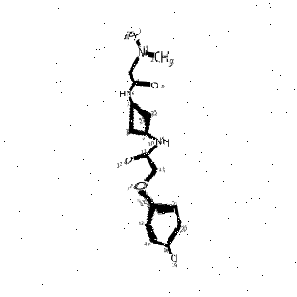 CC(C)N(C)CC(=O)NC12CC(NC(=O)COc3ccc(Cl)cc3)(C1)C2